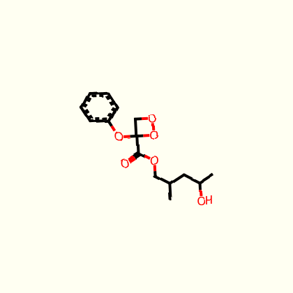 CC(O)CC(C)COC(=O)C1(Oc2ccccc2)COO1